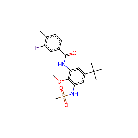 COc1c(NC(=O)c2ccc(C)c(I)c2)cc(C(C)(C)C)cc1NS(C)(=O)=O